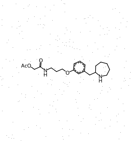 CC(=O)OCC(=O)NCCCOc1cccc(CC2CCCCCN2)c1